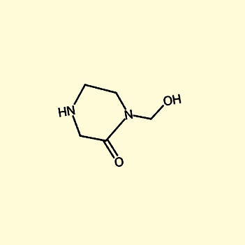 O=C1CNCCN1CO